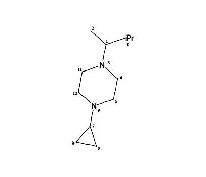 CC(C)C(C)N1CCN(C2CC2)CC1